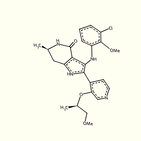 COC[C@@H](C)Oc1cnccc1-c1[nH]c2c(c1Nc1cccc(Cl)c1OC)C(=O)N[C@H](C)C2